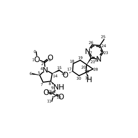 COC(=O)N1[C@H](C)C[C@H](NS(C)(=O)=O)[C@@H]1CO[C@@H]1CC[C@]2(c3ncc(C)cn3)C[C@@H]2C1